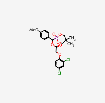 COc1ccc(C(OC(=O)COc2ccc(Cl)cc2Cl)P2(=O)OCC(C)(C)CO2)cc1